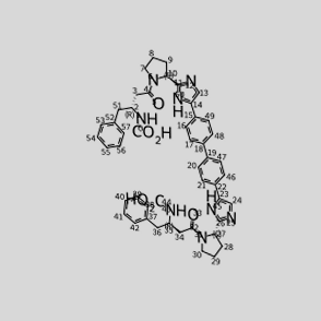 O=C(O)N[C@@H](CC(=O)N1CCC[C@H]1c1ncc(-c2ccc(-c3ccc(-c4cnc([C@@H]5CCCN5C(=O)C[C@@H](Cc5ccccc5)NC(=O)O)[nH]4)cc3)cc2)[nH]1)Cc1ccccc1